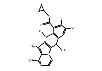 Cc1nc(C(C)c2cc(Cl)c(F)c(C(=O)NC3CC3)c2OC(C)C)n2ccnc(N)c12